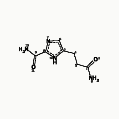 NC(=O)[CH]Cc1cnc(C(N)=O)[nH]1